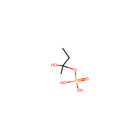 CCC(C)(O)OP(=O)(O)O